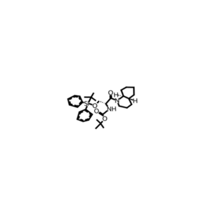 CC(C)(C)OC(=O)N[C@H](CO[Si](c1ccccc1)(c1ccccc1)C(C)(C)C)C(=O)N1CCC[C@H]2CCCC[C@@H]21